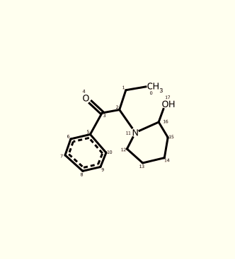 CCC(C(=O)c1ccccc1)N1CCCCC1O